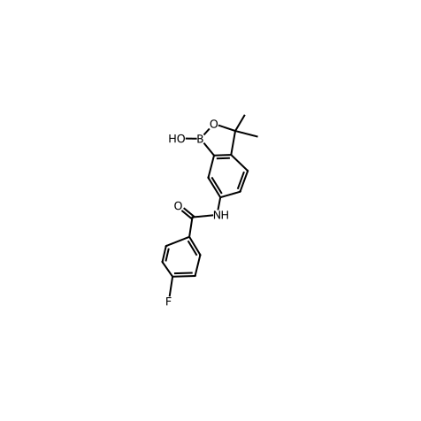 CC1(C)OB(O)c2cc(NC(=O)c3ccc(F)cc3)ccc21